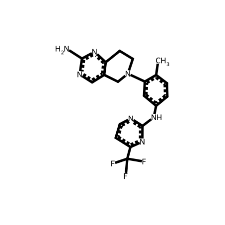 Cc1ccc(Nc2nccc(C(F)(F)F)n2)cc1N1CCc2nc(N)ncc2C1